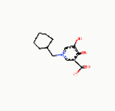 O=C(O)c1cn(CC2CCCCC2)cc(O)c1=O